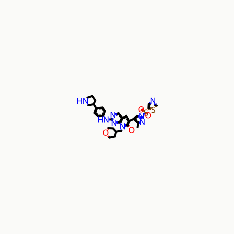 Cc1nn(S(=O)(=O)c2cncs2)cc1-c1cc2cnc(Nc3ccc(C4CCCNC4)cc3)nc2n(CC2CCOCC2)c1=O